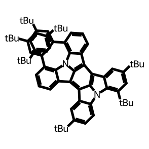 CC(C)(C)c1cc(-c2cccc3c4c5c6cc(C(C)(C)C)ccc6n6c7c(C(C)(C)C)cc(C(C)(C)C)cc7c(c7c8cccc(-c9cc(C(C)(C)C)cc(C(C)(C)C)c9)c8n(c23)c47)c56)cc(C(C)(C)C)c1